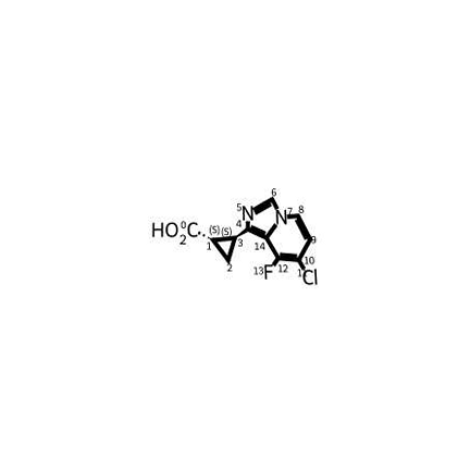 O=C(O)[C@H]1C[C@@H]1c1ncn2ccc(Cl)c(F)c12